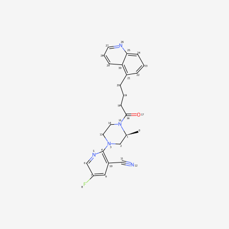 C[C@H]1CN(c2ncc(F)cc2C#N)CCN1C(=O)CCCc1cccc2ncccc12